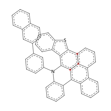 c1cc(-c2ccc3ccccc3c2)cc(N(c2ccccc2-c2cc3ccccc3c3ccccc23)c2cccc3sc4ccccc4c23)c1